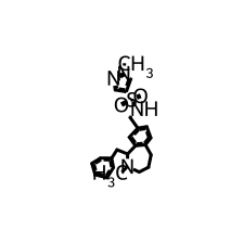 CN1CCCc2ccc(CNS(=O)(=O)c3cnn(C)c3)cc2C1Cc1ccccc1